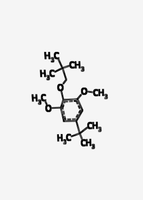 COc1cc(C(C)(C)C)cc(OC)c1OCC(C)(C)C